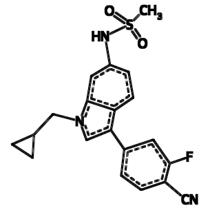 CS(=O)(=O)Nc1ccc2c(-c3ccc(C#N)c(F)c3)cn(CC3CC3)c2c1